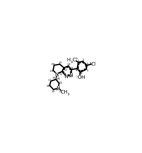 Cc1cc(Cl)cc(O)c1-c1cc2c(nn1)N([C@@H]1CCCN(C)C1)CCC2